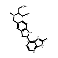 COC[C@@H](CC(C)C)N(C)Cc1ccc2c(c1)CC(c1ccnc3[nH]c(C)nc13)N2